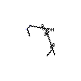 CCCCC/C=C\C/C=C\CCCCCCCC(=O)OCC(CO)COC(=O)CCCCCCCCC(=O)OCC(CCCC)CCCCCC